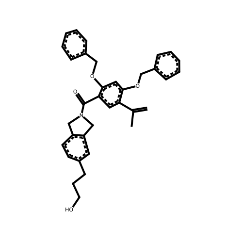 C=C(C)c1cc(C(=O)N2Cc3ccc(CCCO)cc3C2)c(OCc2ccccc2)cc1OCc1ccccc1